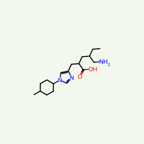 CCC(CN)CC(Cc1cn(C2CCC(C)CC2)cn1)C(=O)O